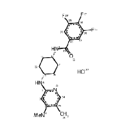 CNc1cc(N[C@H]2CC[C@@H](NC(=O)c3cc(F)c(F)c(F)c3)CC2)ncc1C.Cl